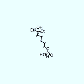 CCC(O)(CC)CCCCCO[PH](=O)O